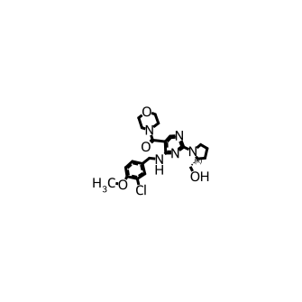 COc1ccc(CNc2nc(N3CCC[C@@H]3CO)ncc2C(=O)N2CCOCC2)cc1Cl